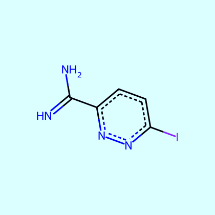 N=C(N)c1ccc(I)nn1